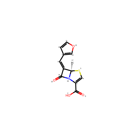 O=C(O)C1=CS[C@@H]2/C(=C\c3ccoc3)C(=O)N12